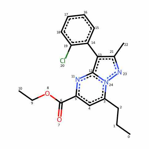 CCCc1cc(C(=O)OCC)nc2c(-c3ccccc3Cl)c(C)nn12